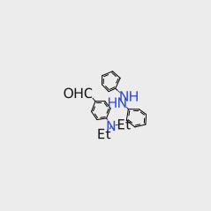 CCN(CC)c1ccc(C=O)cc1.c1ccc(NNc2ccccc2)cc1